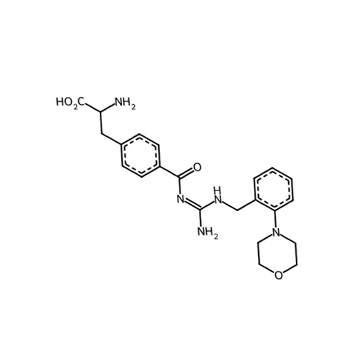 NC(=NC(=O)c1ccc(CC(N)C(=O)O)cc1)NCc1ccccc1N1CCOCC1